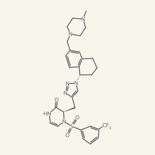 CN1CCN(Cc2ccc3c(c2)CCC[C@@H]3n2cc(C[C@@H]3C(=O)NC=CN3S(=O)(=O)c3cccc(C(F)(F)F)c3)nn2)CC1